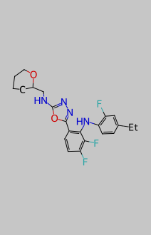 CCc1ccc(Nc2c(-c3nnc(NCC4CCCCO4)o3)ccc(F)c2F)c(F)c1